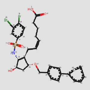 O=C(O)CCC/C=C\C[C@@H]1[C@@H](NS(=O)(=O)c2ccc(Br)c(Br)c2)[C@H](O)C[C@H]1OCc1ccc(-c2ccccc2)cc1